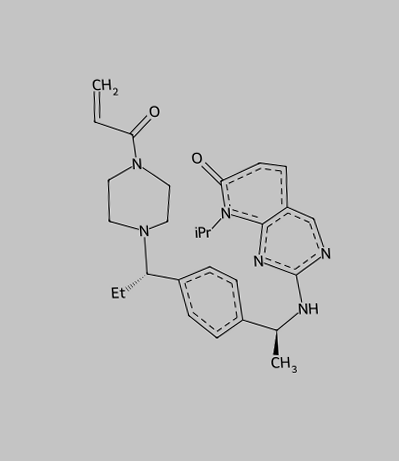 C=CC(=O)N1CCN([C@@H](CC)c2ccc([C@H](C)Nc3ncc4ccc(=O)n(C(C)C)c4n3)cc2)CC1